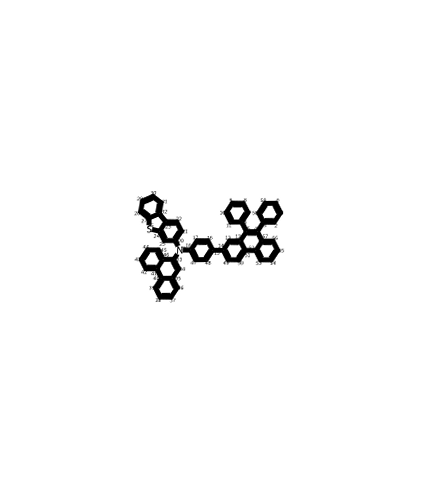 c1ccc(-c2c(-c3ccccc3)c3cc(-c4ccc(N(c5ccc6c(c5)sc5ccccc56)c5cc6ccccc6c6ccccc56)cc4)ccc3c3ccccc23)cc1